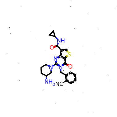 N#Cc1ccccc1Cn1c(N2CCCC(N)C2)nc2c(C(=O)NC3CC3)csc2c1=O